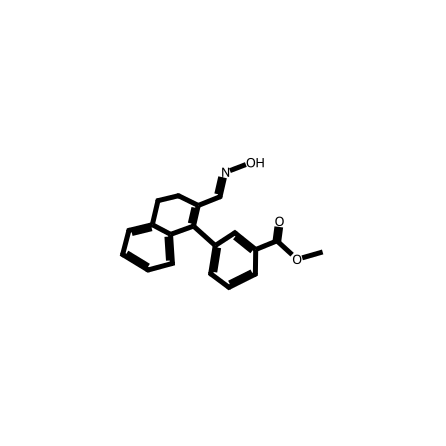 COC(=O)c1cccc(C2=C(C=NO)CCc3ccccc32)c1